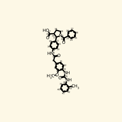 COc1cc(CC(=O)Nc2ccc(C3C(C(=O)O)CCN3C(=O)c3ccccc3)cc2)ccc1NC(=O)Nc1ccccc1C